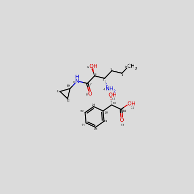 CCC[C@H](N)[C@H](O)C(=O)NC1CC1.O=C(O)[C@@H](O)c1ccccc1